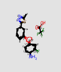 Cc1nnc(-c2cccc(Oc3ccc(N)c(F)c3)c2)s1.O=C(O)C(F)(F)F